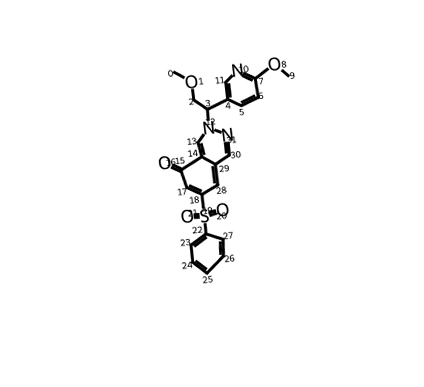 COCC(c1ccc(OC)nc1)n1cc2c(=O)cc(S(=O)(=O)c3ccccc3)cc-2cn1